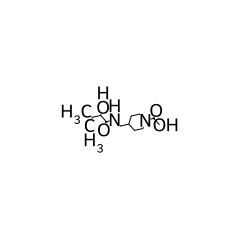 CC(C)[C@H](O)C(=O)NCC1CCN(C(=O)O)CC1